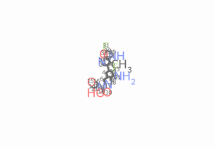 Cc1c(-c2cc3cc(N(C(=O)O)[C@@H]4CCOC4)ncc3c(N)c2F)cnc2c1NC[C@@H](F)O2